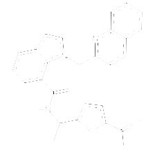 CC(NC(=O)c1cccc2ccn(Cc3ccc4ccccc4n3)c12)c1ccc(C(=O)O)s1